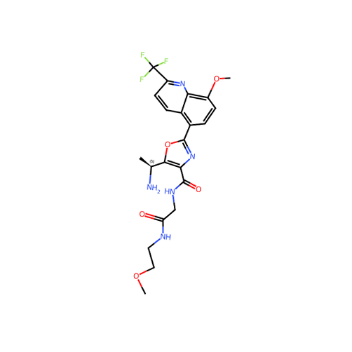 COCCNC(=O)CNC(=O)c1nc(-c2ccc(OC)c3nc(C(F)(F)F)ccc23)oc1[C@H](C)N